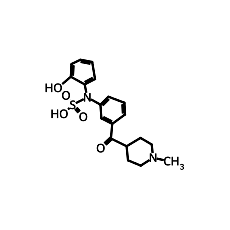 CN1CCC(C(=O)c2cccc(N(c3ccccc3O)S(=O)(=O)O)c2)CC1